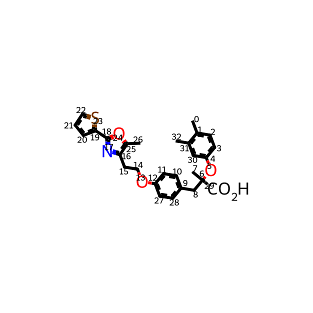 Cc1ccc(OC(C)(Cc2ccc(OCCc3nc(-c4cccs4)oc3C)cc2)C(=O)O)cc1C